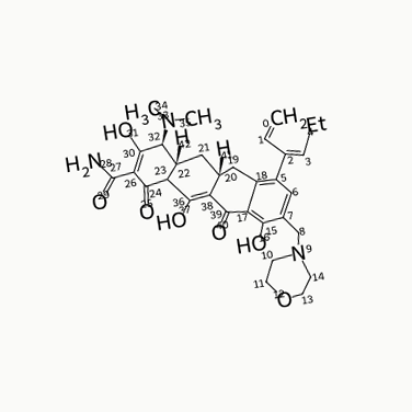 C=C/C(=C\CC)c1cc(CN2CCOCC2)c(O)c2c1C[C@H]1C[C@@H]3C(C(=O)C(C(N)=O)=C(O)[C@H]3N(C)C)C(O)=C1C2=O